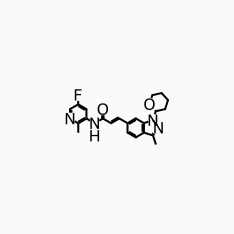 Cc1ncc(F)cc1NC(=O)/C=C/c1ccc2c(C)nn(C3CCCCO3)c2c1